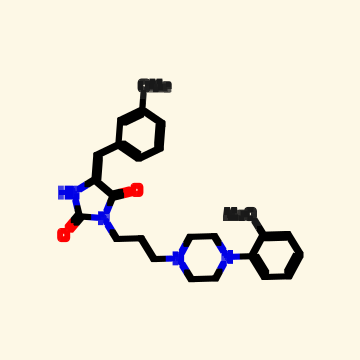 COc1cccc(/C=C2/NC(=O)N(CCCN3CCN(c4ccccc4OC)CC3)C2=O)c1